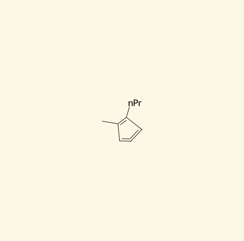 CCCC1=C(C)C=C=C1